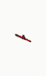 CCCCCCCCCCCCCCCCN(CCCCCCCCCCCCCCCC)C(=S)SCCC